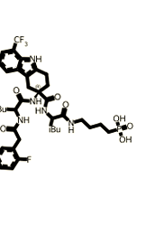 CCC(C)C(NC(=O)Cc1ccccc1F)C(=O)N[C@]1(C(=O)NC(C(=O)NCCCCP(=O)(O)O)C(C)CC)CCc2[nH]c3c(C(F)(F)F)cccc3c2C1